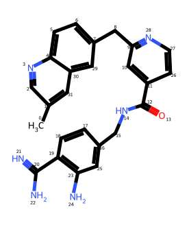 Cc1cnc2ccc(Cc3cc(C(=O)NCc4ccc(C(=N)N)c(N)c4)ccn3)cc2c1